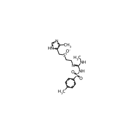 CNC(=NCC[S+]([O-])Cc1[nH]cnc1C)NS(=O)(=O)c1ccc(C)cc1